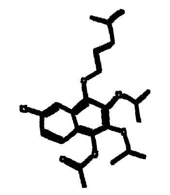 CC(=O)Oc1c(OC(C)C)c(OC(C)C)c(OCCCC(C)C)c2cc(Cl)ccc12